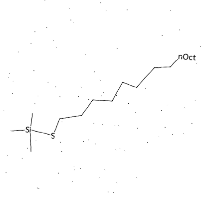 CCCCCCCCCCCCCCCCS[Si](C)(C)C